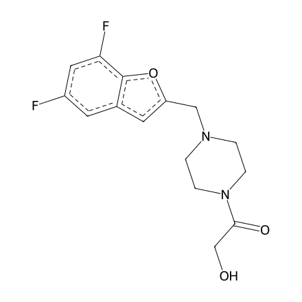 O=C(CO)N1CCN(Cc2cc3cc(F)cc(F)c3o2)CC1